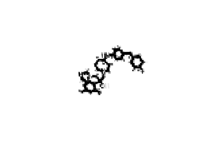 Cc1ccc(C(O)(CN2CCCC(Nc3ccc(Cc4ccc(F)cc4)cc3)CC2)Cn2cncn2)c(F)c1